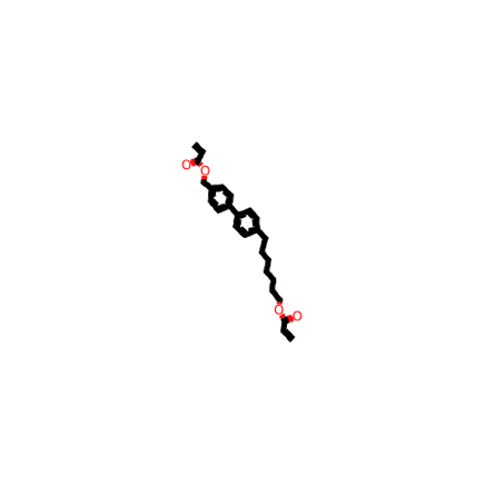 C=CC(=O)OCCCCCCCc1ccc(-c2ccc(COC(=O)C=C)cc2)cc1